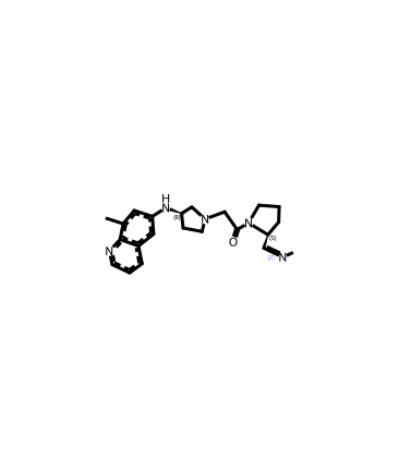 C/N=C\[C@@H]1CCCN1C(=O)CN1CC[C@@H](Nc2cc(C)c3ncccc3c2)C1